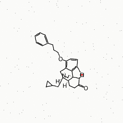 O=C1CC[C@H]2[C@H]3Cc4c(OCCCc5ccccc5)ccc5c4[C@@]2(CCN3CC2CC2)[C@H]1O5